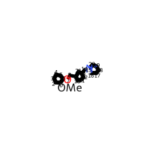 COc1ccccc1OCc1cccc(C[n+]2ccccc2)c1